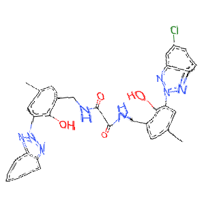 Cc1cc(CNC(=O)C(=O)NCc2cc(C)cc(-n3nc4ccc(Cl)cc4n3)c2O)c(O)c(-n2nc3ccccc3n2)c1